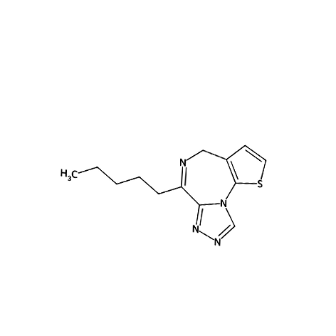 CCCCCC1=NCc2ccsc2-n2cnnc21